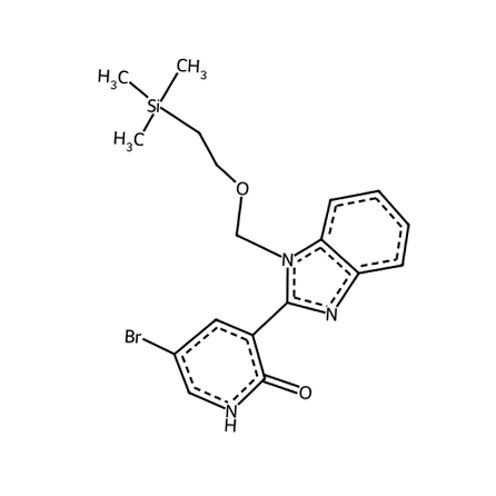 C[Si](C)(C)CCOCn1c(-c2cc(Br)c[nH]c2=O)nc2ccccc21